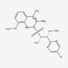 COc1cccc(OC)c1NN(C(=N)N)S(=O)(=O)[C@@H](C)[C@H](OC)c1ncc(Cl)cn1